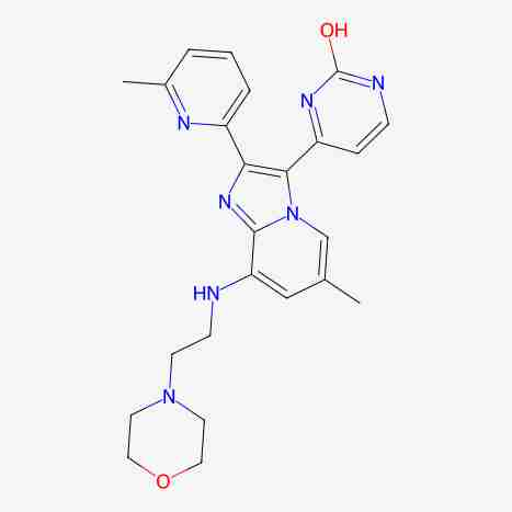 Cc1cc(NCCN2CCOCC2)c2nc(-c3cccc(C)n3)c(-c3ccnc(O)n3)n2c1